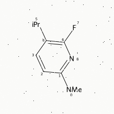 CNc1ccc(C(C)C)c(F)n1